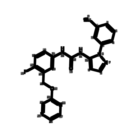 CC(C)(C)c1cccc(-n2nccc2NC(=O)Nc2ccc(F)c(COc3cnccn3)c2)c1